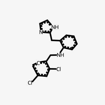 Clc1ccc(CNc2ccccc2Cc2ncc[nH]2)c(Cl)c1